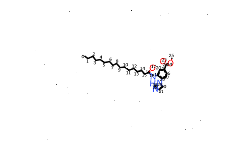 CCCCCCCCCCCCCCCCC(=O)Nc1cc(C(=O)OC)ccc1-n1ccnc1